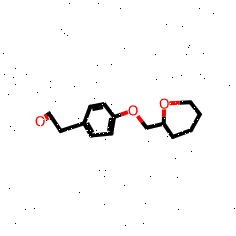 O=CCc1ccc(OCC2CCCCO2)cc1